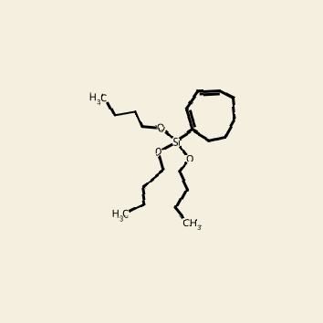 CCCCO[Si](OCCCC)(OCCCC)/C1=C/C=C\CCCC1